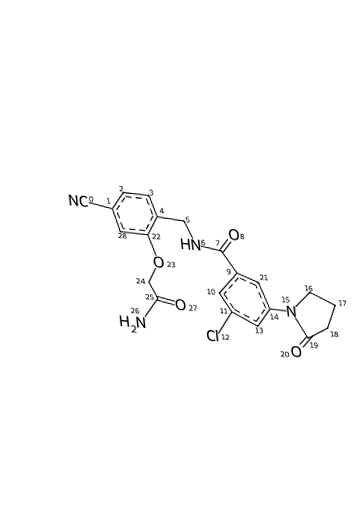 N#Cc1ccc(CNC(=O)c2cc(Cl)cc(N3CCCC3=O)c2)c(OCC(N)=O)c1